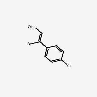 O=CC=C(Br)c1ccc(Cl)cc1